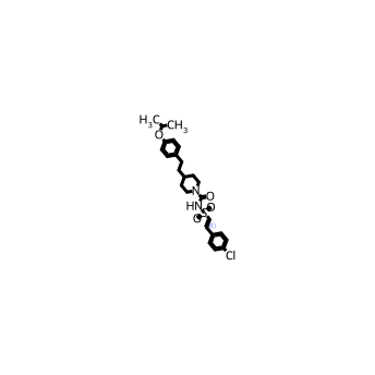 CC(C)Oc1ccc(CCC2CCN(C(=O)NS(=O)(=O)/C=C/c3ccc(Cl)cc3)CC2)cc1